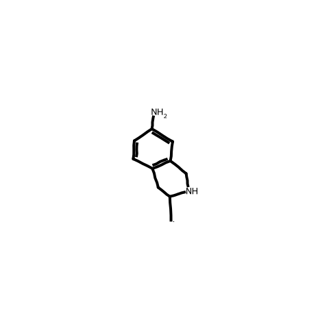 [CH2]C1Cc2ccc(N)cc2CN1